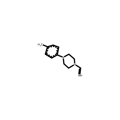 Cc1ccc(N2CCN(C=N)CC2)cc1